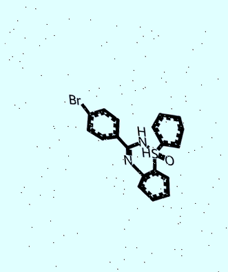 O=[SH]1(c2ccccc2)NC(c2ccc(Br)cc2)=Nc2ccccc21